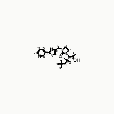 CC(C)(C)CC(C)(C)[C@@H](C(=O)O)N1CCN(Cc2csc(-c3cccnc3)n2)C1=O